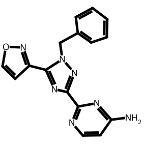 Nc1ccnc(-c2nc(-c3ccon3)n(Cc3ccccc3)n2)n1